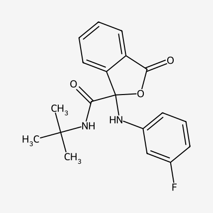 CC(C)(C)NC(=O)C1(Nc2cccc(F)c2)OC(=O)c2ccccc21